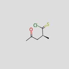 CC(=O)C[C@H](C)C(=S)Cl